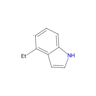 CCc1[c]ccc2[nH]ccc12